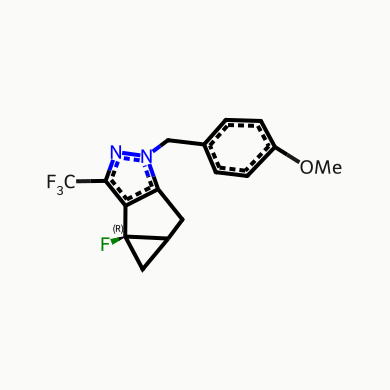 COc1ccc(Cn2nc(C(F)(F)F)c3c2CC2C[C@]32F)cc1